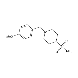 COc1ccc(CN2CCC(S(N)(=O)=O)CC2)cc1